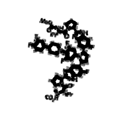 COC(=O)N[C@H](C(=O)N1CCC[C@H]1c1nc2cc([C@H]3CC[C@H](c4cc5nc([C@@H]6CCCN6C(=O)[C@H](C(C)C)N(C)C(=O)O)[nH]c5cc4F)N3c3cc(F)c(N4CCC(c5ccc(F)c(F)c5)CC4)c(F)c3)c(F)cc2[nH]1)C(C)C